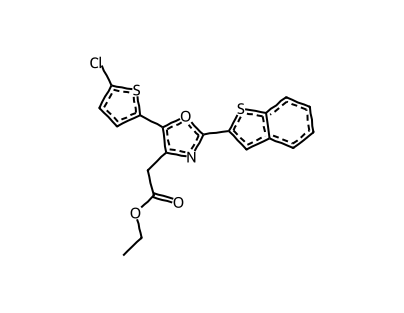 CCOC(=O)Cc1nc(-c2cc3ccccc3s2)oc1-c1ccc(Cl)s1